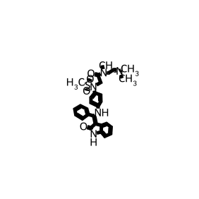 CN(C)CCN(C)C(=O)CN(c1ccc(NC(=C2C(=O)Nc3ccccc32)c2ccccc2)cc1)S(C)(=O)=O